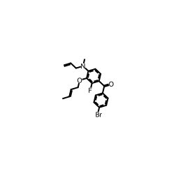 C=CCN(C)c1ccc(C(=O)c2ccc(Br)cc2)c(F)c1OCC=CC